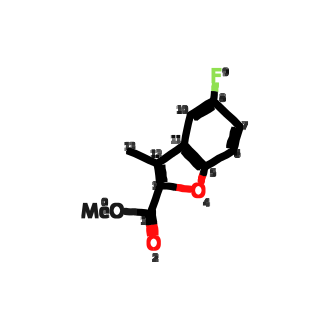 COC(=O)c1oc2ccc(F)cc2c1C